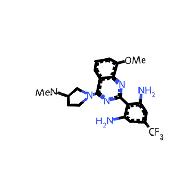 CNC1CCN(c2nc(-c3c(N)cc(C(F)(F)F)cc3N)nc3c(OC)cccc23)C1